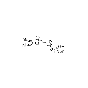 CCCCCCCCCC(CCCCCC)OC(=O)CCCCC(=O)OC(CCCCCC)CCCCCCCCC